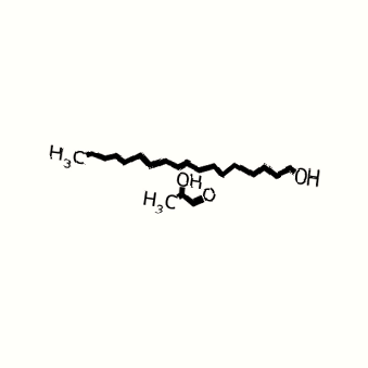 CC(O)C=O.CCCCCCCCCCCCCCCCCCO